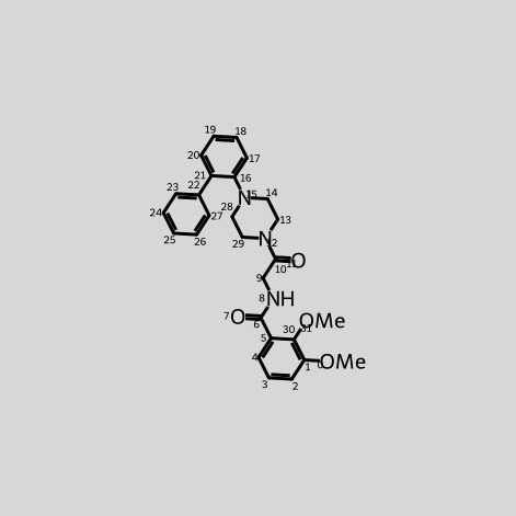 COc1cccc(C(=O)NCC(=O)N2CCN(c3ccccc3-c3ccccc3)CC2)c1OC